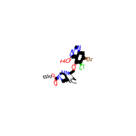 CC(C)(C)OC(=O)N1CCC(N[C@@H](CC#N)COc2c(Cl)c(Br)cc3ncnc(O)c23)C1